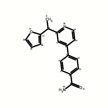 CC(c1cc(-c2ccc(C(N)=O)cc2)ccn1)c1ccco1